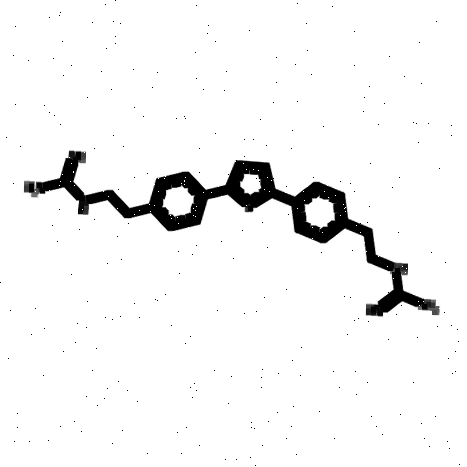 N=C(N)NCCc1ccc(-c2ccc(-c3ccc(CCNC(=N)N)cc3)s2)cc1